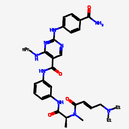 CCCNc1nc(Nc2ccc(C(N)=O)cc2)ncc1C(=O)Nc1cccc(NC(=O)[C@H](C)N(C)C(=O)/C=C/CN(CC)CC)c1